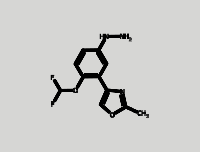 Cc1nc(-c2cc(NN)ccc2OC(F)F)co1